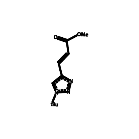 COC(=O)C=Cc1cn(C(C)(C)C)nn1